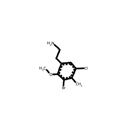 COc1c(CCN)cc(Cl)c(C)c1Br